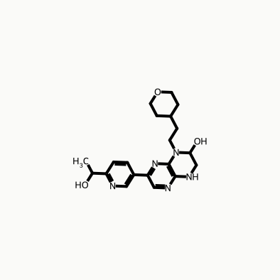 CC(O)c1ccc(-c2cnc3c(n2)N(CCC2CCOCC2)C(O)CN3)cn1